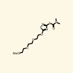 COCCOCCOCCOc1nc(SC(=O)N(C)C)ns1